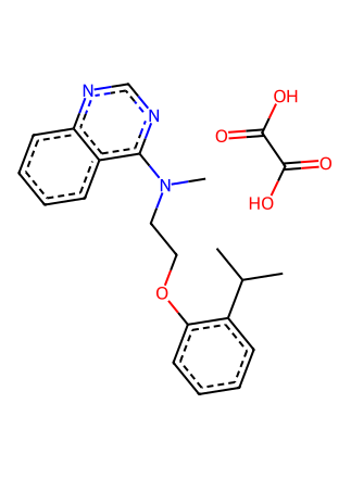 CC(C)c1ccccc1OCCN(C)c1ncnc2ccccc12.O=C(O)C(=O)O